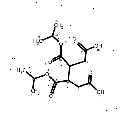 CC(C)OC(=O)C(CC(=O)O)C(CC(=O)O)C(=O)OC(C)C